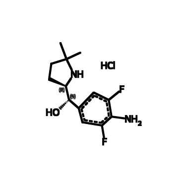 CC1(C)CC[C@H]([C@@H](O)c2cc(F)c(N)c(F)c2)N1.Cl